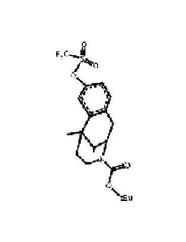 CC1C2Cc3ccc(OS(=O)(=O)C(F)(F)F)cc3C1(C)CCN2C(=O)OC(C)(C)C